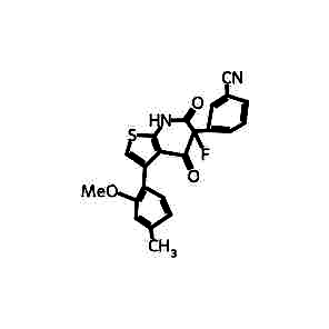 COc1cc(C)ccc1-c1csc2c1C(=O)C(F)(c1cccc(C#N)c1)C(=O)N2